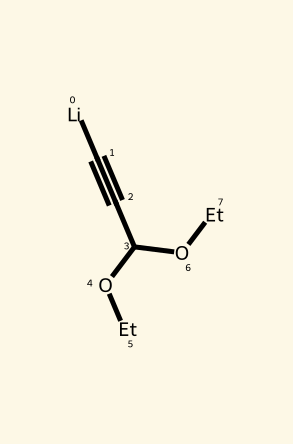 [Li][C]#CC(OCC)OCC